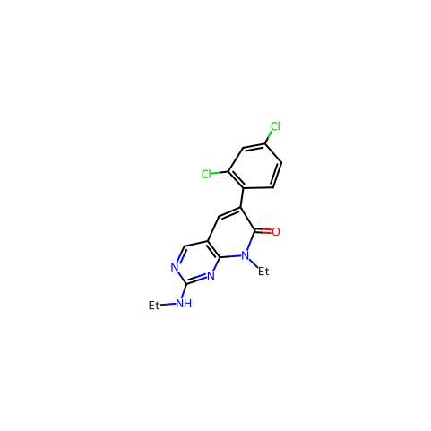 CCNc1ncc2cc(-c3ccc(Cl)cc3Cl)c(=O)n(CC)c2n1